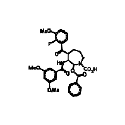 COc1cc(OC)cc(C(=O)NC2C(C(=O)c3cccc(OC)c3F)CCCN(C(=O)O)C2OC(=O)c2ccccc2)c1